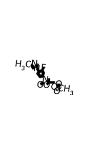 Cc1cn(-c2ccc(N3CC(COS(C)(=O)=O)OC3=O)cc2F)cn1